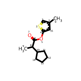 Cc1csc(OC(=O)C(C)C2CCCC2)c1